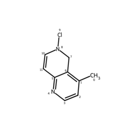 Cc1ccnc2c1CN(Cl)C=C2